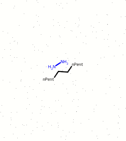 CCCCCCCCCCCC.NN